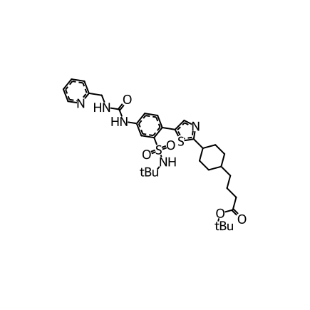 CC(C)(C)NS(=O)(=O)c1cc(NC(=O)NCc2ccccn2)ccc1-c1cnc(C2CCC(CCCC(=O)OC(C)(C)C)CC2)s1